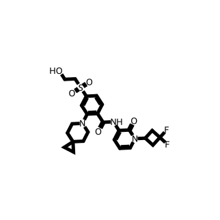 O=C(Nc1cccn(C2CC(F)(F)C2)c1=O)c1ccc(S(=O)(=O)CCO)cc1N1CCC2(CC1)CC2